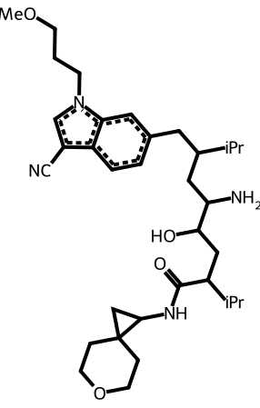 COCCCn1cc(C#N)c2ccc(CC(CC(N)C(O)CC(C(=O)NC3CC34CCOCC4)C(C)C)C(C)C)cc21